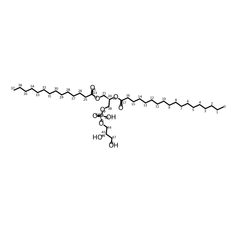 CCCCCCCCCCCCCCCCCC(=O)O[C@H](COC(=O)CCCCCCCCCCCCC)COP(=O)(O)OC[C@@H](O)CO